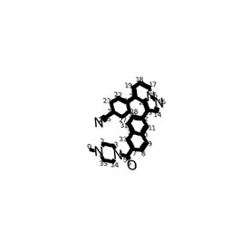 CN1CCN(C(=O)c2ccc3cc(-c4cnn5cccc(C6=CCC(C#N)CC6)c45)ccc3c2)CC1